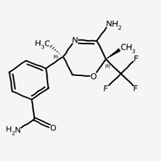 C[C@@]1(c2cccc(C(N)=O)c2)CO[C@@](C)(C(F)(F)F)C(N)=N1